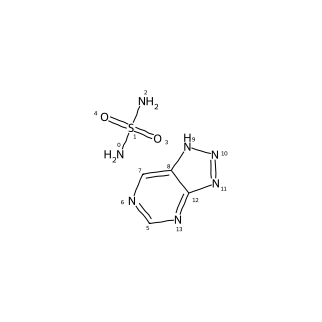 NS(N)(=O)=O.c1ncc2[nH]nnc2n1